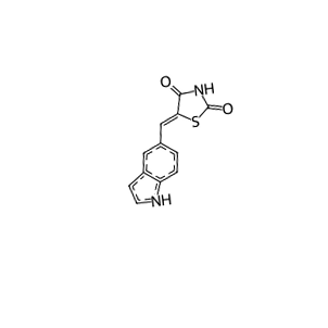 O=C1NC(=O)/C(=C/c2ccc3[nH]ccc3c2)S1